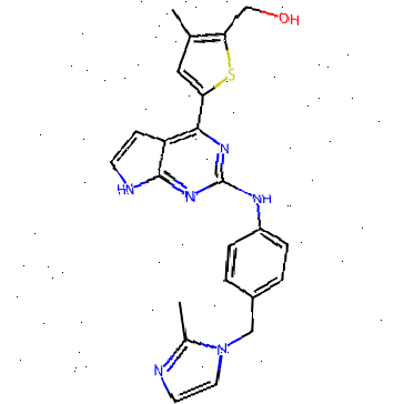 Cc1cc(-c2nc(Nc3ccc(Cn4ccnc4C)cc3)nc3[nH]ccc23)sc1CO